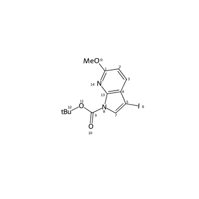 COc1ccc2c(I)cn(C(=O)OC(C)(C)C)c2n1